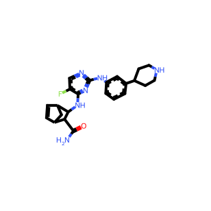 NC(=O)C1C2C=CC(C2)C1Nc1nc(Nc2cccc(C3CCNCC3)c2)ncc1F